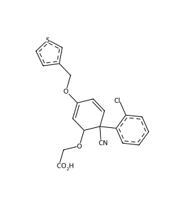 N#CC1(c2ccccc2Cl)C=CC(OCc2ccsc2)=CC1OCC(=O)O